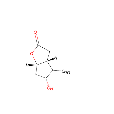 O=CC1[C@H](O)C[C@@H]2OC(=O)C[C@H]12